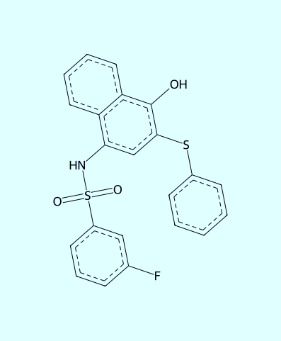 O=S(=O)(Nc1cc(Sc2ccccc2)c(O)c2ccccc12)c1cccc(F)c1